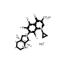 Cl.O=C(O)c1cn(C2CC2)c2c(F)c(N3C[C@@H]4CCCN[C@@H]4C3)c(F)c(F)c2c1=O